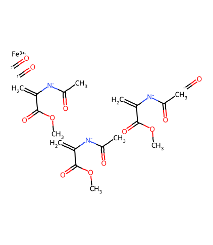 C=C([N-]C(C)=O)C(=O)OC.C=C([N-]C(C)=O)C(=O)OC.C=C([N-]C(C)=O)C(=O)OC.[C]=O.[C]=O.[C]=O.[Fe+3]